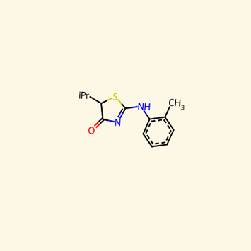 Cc1ccccc1NC1=NC(=O)C(C(C)C)S1